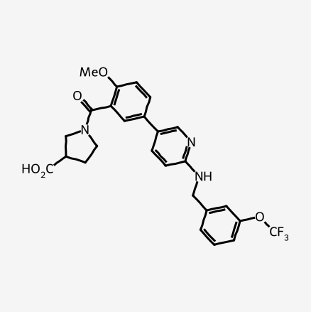 COc1ccc(-c2ccc(NCc3cccc(OC(F)(F)F)c3)nc2)cc1C(=O)N1CCC(C(=O)O)C1